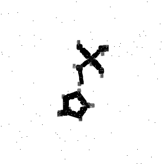 COS(=O)(=O)O.c1c[nH]cn1